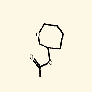 CC(=O)OC1CCCCOC1